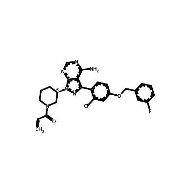 C=CC(=O)N1CCC[C@@H](n2nc(-c3ccc(OCc4cccc(F)c4)cc3Cl)c3c(N)ncnc32)C1